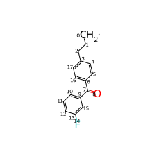 [CH2]CCc1ccc(C(=O)c2cccc(F)c2)cc1